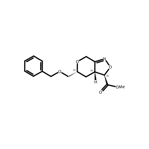 COC(=O)[C@@H]1ON=C2CO[C@@H](COCc3ccccc3)C[C@H]21